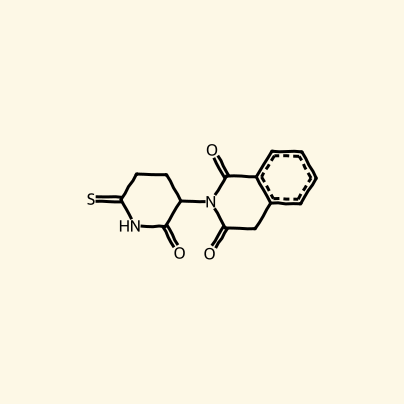 O=C1NC(=S)CCC1N1C(=O)Cc2ccccc2C1=O